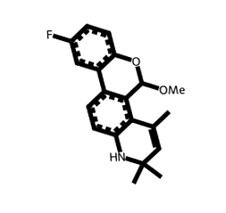 COC1Oc2ccc(F)cc2-c2ccc3c(c21)C(C)=CC(C)(C)N3